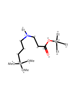 CCN(CCC[Si](OC)(OC)OC)CCC(=O)O[Si](CC)(CC)CC